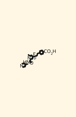 Cc1cc(C(F)(F)CCc2ccc(C(=O)O)cc2)cc(C(=O)NCc2ccncc2)n1